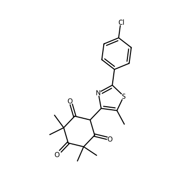 Cc1sc(-c2ccc(Cl)cc2)nc1C1C(=O)C(C)(C)C(=O)C(C)(C)C1=O